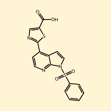 O=C(O)c1cnc(-c2ccnc3c2ccn3S(=O)(=O)c2ccccc2)s1